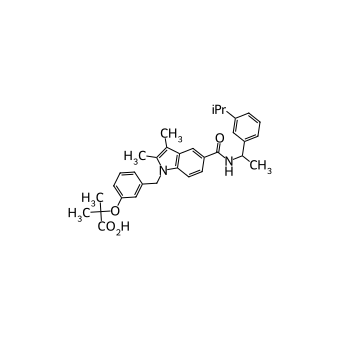 Cc1c(C)n(Cc2cccc(OC(C)(C)C(=O)O)c2)c2ccc(C(=O)NC(C)c3cccc(C(C)C)c3)cc12